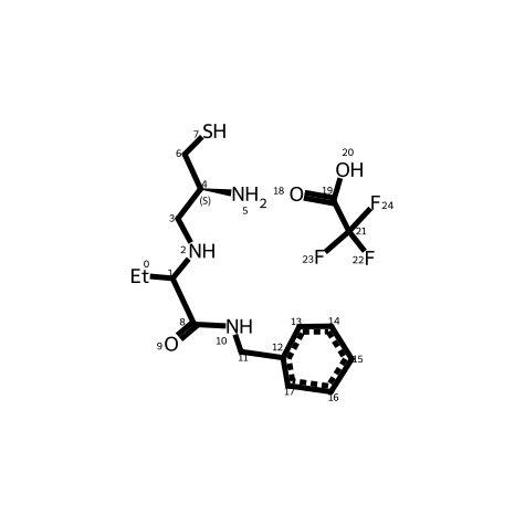 CCC(NC[C@H](N)CS)C(=O)NCc1ccccc1.O=C(O)C(F)(F)F